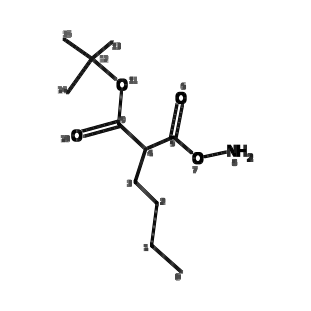 CCCCC(C(=O)ON)C(=O)OC(C)(C)C